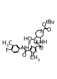 Cc1cc(NC(=O)c2c(F)c(S(=O)(=O)NC3CN(C(=O)OC(C)(C)C)CCC3CO)cn2C)ccc1F